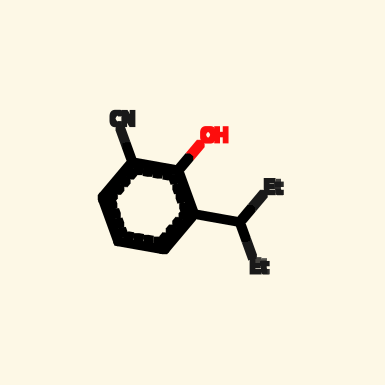 CCC(CC)c1cccc(C#N)c1O